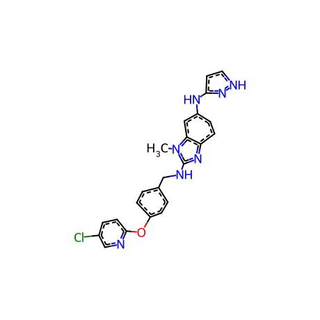 Cn1c(NCc2ccc(Oc3ccc(Cl)cn3)cc2)nc2ccc(Nc3cc[nH]n3)cc21